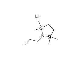 [CH2]CCN1[Si](C)(C)CC[Si]1(C)C.[LiH]